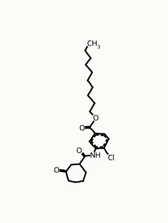 CCCCCCCCCCOC(=O)c1ccc(Cl)c(NC(=O)C2CCCCC(=O)C2)c1